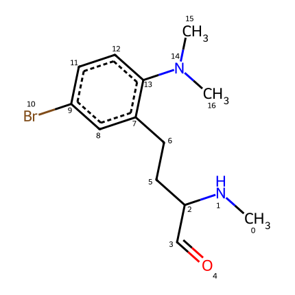 CNC(C=O)CCc1cc(Br)ccc1N(C)C